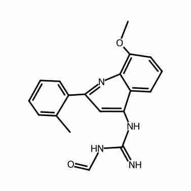 COc1cccc2c(NC(=N)NC=O)cc(-c3ccccc3C)nc12